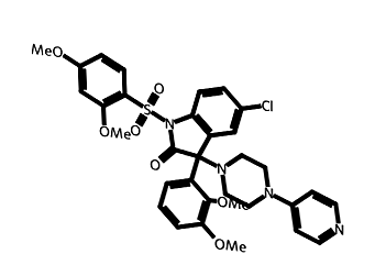 COc1ccc(S(=O)(=O)N2C(=O)C(c3cccc(OC)c3OC)(N3CCN(c4ccncc4)CC3)c3cc(Cl)ccc32)c(OC)c1